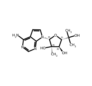 CC(C)(O)[C@H]1O[C@@H](n2ccc3c(N)ncnc32)[C@](C)(O)[C@@H]1O